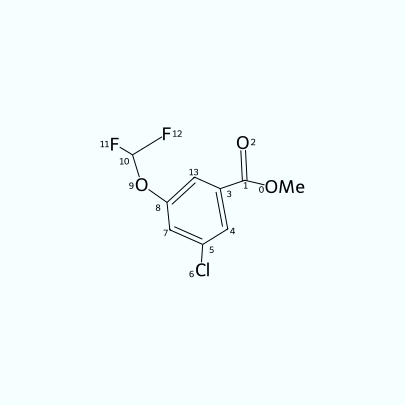 COC(=O)c1cc(Cl)cc(OC(F)F)c1